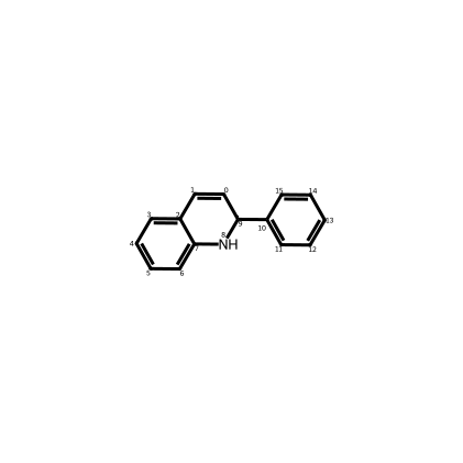 C1=Cc2ccccc2N[C]1c1ccccc1